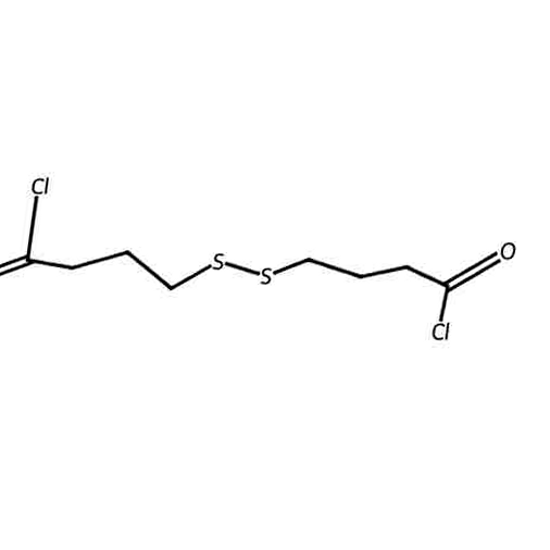 O=C(Cl)CCCSSCCCC(=O)Cl